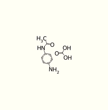 CC(=O)Nc1ccc(N)cc1.O=C(O)O